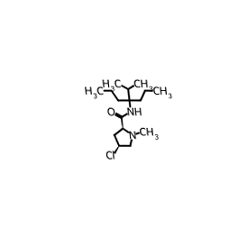 CCCC(CCC)(NC(=O)[C@@H]1C[C@H](Cl)CN1C)C(C)C